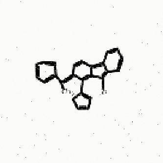 CC(c1ccccc1)=c1ccc2c(c1C1=CC=CC1)[C]([Zr])=c1ccccc1=2